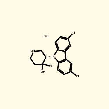 Cl.OC1(O)CCNC[C@@H]1n1c2ccc(Cl)cc2c2cc(Cl)ccc21